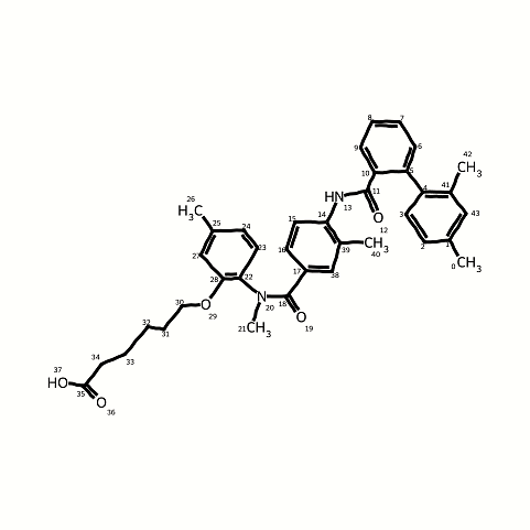 Cc1ccc(-c2ccccc2C(=O)Nc2ccc(C(=O)N(C)c3ccc(C)cc3OCCCCCC(=O)O)cc2C)c(C)c1